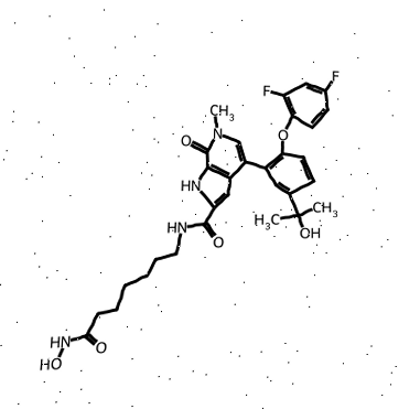 Cn1cc(-c2cc(C(C)(C)O)ccc2Oc2ccc(F)cc2F)c2cc(C(=O)NCCCCCCC(=O)NO)[nH]c2c1=O